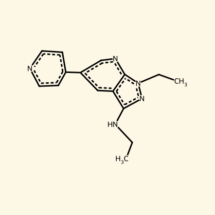 CCNc1nn(CC)c2ncc(-c3ccncc3)cc12